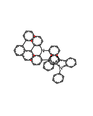 c1ccc(-c2cccc3cccc(-c4ccccc4N(c4ccccc4-c4ccc5c6ccccc6n(-c6ccccc6)c5c4)c4cccc5sc6ccccc6c45)c23)cc1